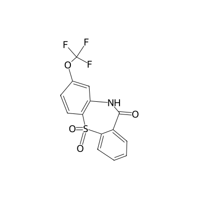 O=C1Nc2cc(OC(F)(F)F)ccc2S(=O)(=O)c2ccccc21